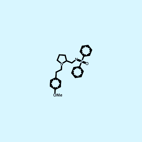 COc1ccc(CCN2CCCC2CN=S(=O)(c2ccccc2)c2ccccc2)cc1